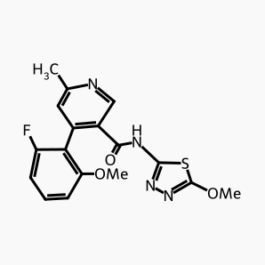 COc1nnc(NC(=O)c2cnc(C)cc2-c2c(F)cccc2OC)s1